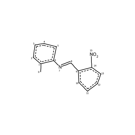 Cc1ccccc1N=Cc1ccccc1[N+](=O)[O-]